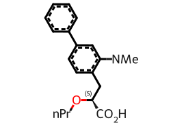 CCCO[C@@H](Cc1ccc(-c2ccccc2)cc1NC)C(=O)O